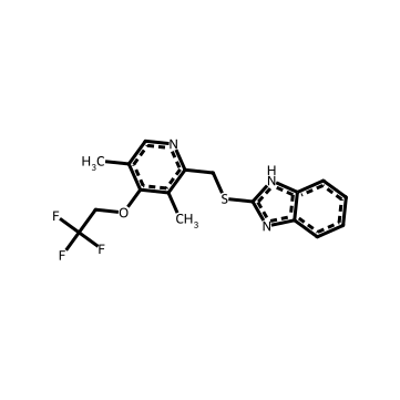 Cc1cnc(CSc2nc3ccccc3[nH]2)c(C)c1OCC(F)(F)F